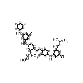 CC(O)CNc1nc(Cl)nc(Nc2ccc(/C=C/c3ccc(Nc4nc(Cl)nc(Nc5ccccc5)n4)cc3SOOO)c(S(=O)(=O)O)c2)n1